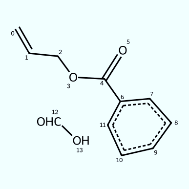 C=CCOC(=O)c1ccccc1.O=CO